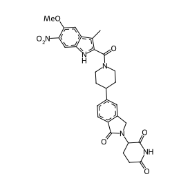 COc1cc2c(C)c(C(=O)N3CCC(c4ccc5c(c4)CN(C4CCC(=O)NC4=O)C5=O)CC3)[nH]c2cc1[N+](=O)[O-]